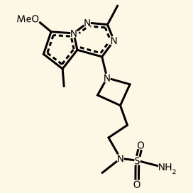 COc1cc(C)c2c(N3CC(CCN(C)S(N)(=O)=O)C3)nc(C)nn12